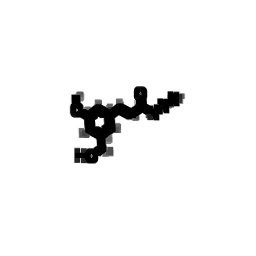 COc1cc(/C=C/C(=O)N=[N+]=[N-])cc(CO)c1